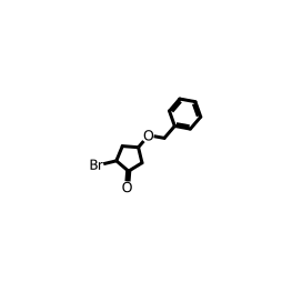 O=C1CC(OCc2ccccc2)CC1Br